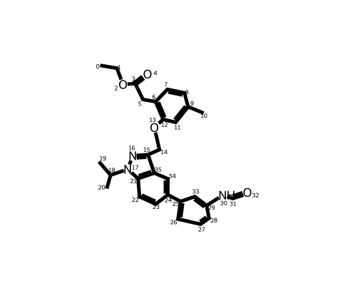 CCOC(=O)Cc1ccc(C)cc1OCc1nn(C(C)C)c2ccc(-c3cccc(NC=O)c3)cc12